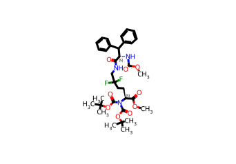 COC(=O)N[C@H](C(=O)NCC(F)(F)CC[C@@H](C(=O)OC)N(C(=O)OC(C)(C)C)C(=O)OC(C)(C)C)C(c1ccccc1)c1ccccc1